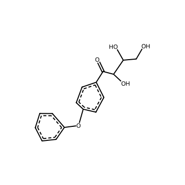 O=C(c1ccc(Oc2ccccc2)cc1)C(O)C(O)CO